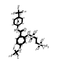 CS(=O)(=O)CCS(=O)(=O)Nc1cc(OC(F)(F)F)ccc1C(=O)NC12CCC(C(F)(F)F)(CC1)CC2